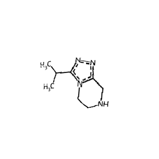 CC(C)c1nnc2n1CCNC2